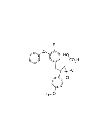 CCOc1ccc(C2(Cc3ccc(F)c(Oc4ccccc4)c3)CC2(Cl)Cl)cc1.O=C(O)O